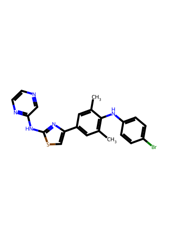 Cc1cc(-c2csc(Nc3cnccn3)n2)cc(C)c1Nc1ccc(Br)cc1